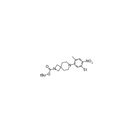 CCc1cc(N2CCC3(CC2)CN(C(=O)OC(C)(C)C)C3)c(C)cc1[N+](=O)[O-]